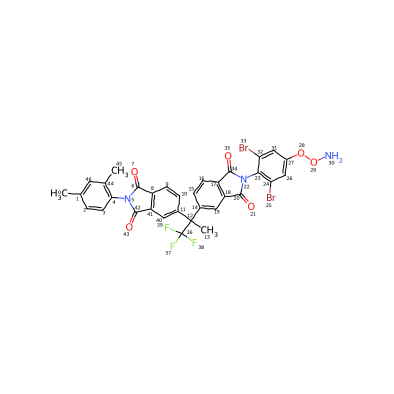 Cc1ccc(N2C(=O)c3ccc(C(C)(c4ccc5c(c4)C(=O)N(c4c(Br)cc(OON)cc4Br)C5=O)C(F)(F)F)cc3C2=O)c(C)c1